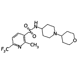 Cc1nc(C(F)(F)F)ccc1S(=O)(=O)NC1CCN(C2CCOCC2)CC1